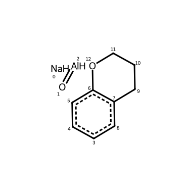 [NaH].[O]=[AlH].c1ccc2c(c1)CCCO2